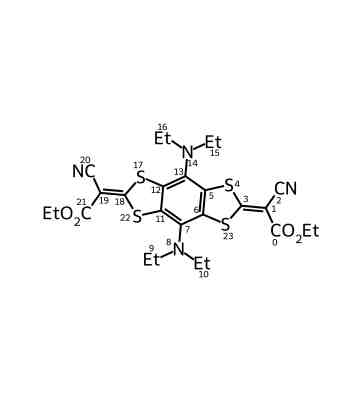 CCOC(=O)C(C#N)=C1Sc2c(c(N(CC)CC)c3c(c2N(CC)CC)SC(=C(C#N)C(=O)OCC)S3)S1